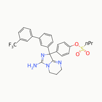 CCCS(=O)(=O)Oc1ccc(C2(c3cccc(-c4cccc(C(F)(F)F)c4)c3)N=C(N)N3CCCN=C32)cc1